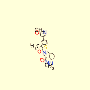 CNC(=O)CCN(CC1CCCCC1)C(=O)c1sc2ccc(-c3cncc(OC)c3)cc2c1C